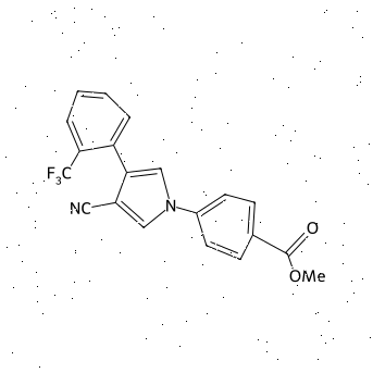 COC(=O)c1ccc(-n2cc(C#N)c(-c3ccccc3C(F)(F)F)c2)cc1